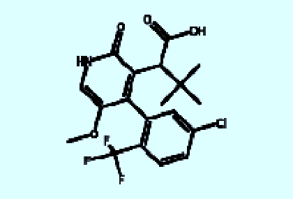 COc1c[nH]c(=O)c(C(C(=O)O)C(C)(C)C)c1-c1cc(Cl)ccc1C(F)(F)F